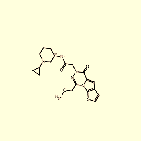 COCc1nn(CC(=O)N[C@@H]2CCCN(C3CC3)C2)c(=O)c2cc3ccsc3n12